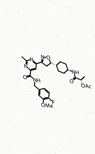 COc1cc(CNC(=O)c2cc(C3=NOC([C@H]4CC[C@H](NC(=O)[C@H](C)OC(C)=O)CC4)C3)nc(C)n2)ccc1F